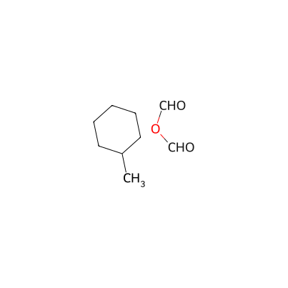 CC1CCCCC1.O=COC=O